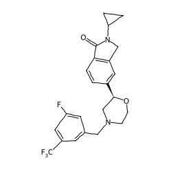 O=C1c2ccc([C@@H]3CN(Cc4cc(F)cc(C(F)(F)F)c4)CCO3)cc2CN1C1CC1